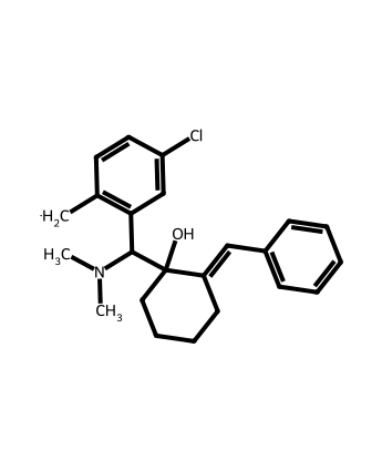 [CH2]c1ccc(Cl)cc1C(N(C)C)C1(O)CCCCC1=Cc1ccccc1